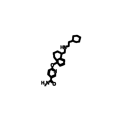 NC(=O)c1ccc(Oc2cccc3c2CCCC3CNCCC2CCCCC2)nc1